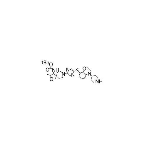 C[C@@H]1OCC2(CCN(c3cnc(Sc4cccc5c4OCCN5C4CCNCC4)cn3)CC2)[C@@H]1NC(=O)OC(C)(C)C